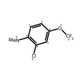 CNc1ccc(OC(F)(F)F)cc1Cl